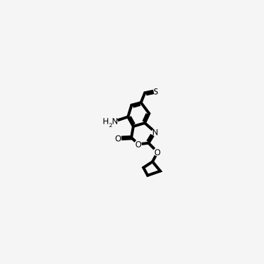 Nc1cc(C=S)cc2nc(OC3CCC3)oc(=O)c12